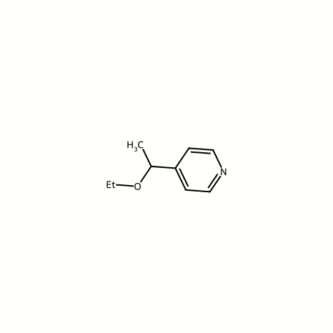 CCOC(C)c1ccncc1